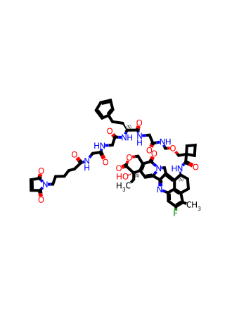 CC[C@@]1(O)C(=O)OCc2c1cc1n(c2=O)Cc2c-1nc1cc(F)c(C)c3c1c2[C@@H](NC(=O)C1(COCNC(=O)CNC(=O)[C@H](CCc2ccccc2)NC(=O)CNC(=O)CNC(=O)CCCCCN2C(=O)C=CC2=O)CCC1)CC3